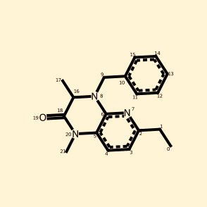 CCc1ccc2c(n1)N(Cc1ccccc1)C(C)C(=O)N2C